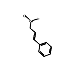 [Cl][Pd]([Cl])[CH2]C=Cc1ccccc1